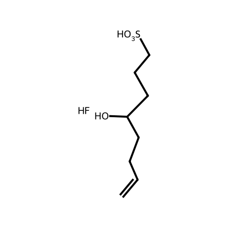 C=CCCC(O)CCCS(=O)(=O)O.F